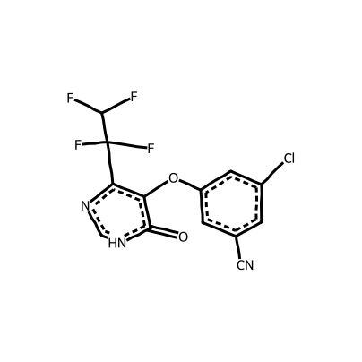 N#Cc1cc(Cl)cc(Oc2c(C(F)(F)C(F)F)nc[nH]c2=O)c1